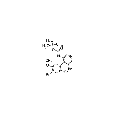 COc1cc(-c2c(Br)cncc2NC(=O)OC(C)(C)C)c(Br)cc1Br